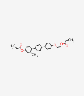 C=CC(=O)O/C=C\Oc1ccc(-c2ccc(-c3ccc(OC(=O)C=C)cc3C)cc2)cc1